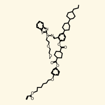 C=CC(=O)OCCCCCCOc1ccc(OC(=O)C2CCC(C(=O)Oc3ccc(C4CCC(C5CCC(CCC)CC5)CC4)cc3/C=N/N(CCOCCOC)c3nc4ccccc4s3)CC2)cc1